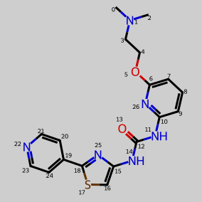 CN(C)CCOc1cccc(NC(=O)Nc2csc(-c3ccncc3)n2)n1